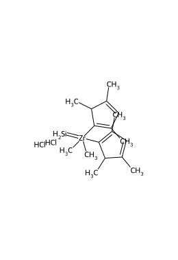 CC1=CC(C)=[C]([Zr]([CH3])([CH3])(=[SiH2])[C]2=C(C)C=C(C)C2C)C1C.Cl.Cl